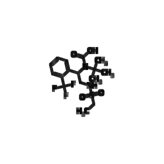 CCS(=O)(=O)NCC(c1ccccc1C(F)(F)F)N(C(=O)O)C(C)(C)C